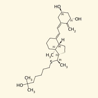 C=C1C(=CC=C2CCC[C@]3(C)[C@@H]([C@@H](C)SCCCCCC(C)(C)O)CC[C@@H]23)C[C@@H](O)C[C@@H]1O